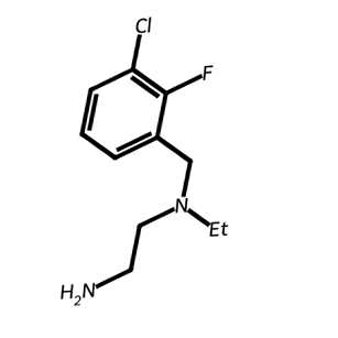 CCN(CCN)Cc1cccc(Cl)c1F